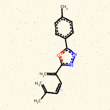 C=C(C)/C=C\C(=C)c1nnc(-c2ccc(C)cc2)o1